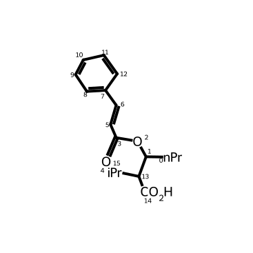 CCCC(OC(=O)C=Cc1ccccc1)C(C(=O)O)C(C)C